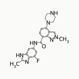 Cc1nc2c(F)cc(NC(=O)c3ccc(N4CCNCC4)c4cn(C)nc34)cc2[nH]1